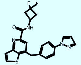 O=C(NC1CC(F)(F)C1)c1cc(Cc2ccc(-n3cccn3)cc2)c2sccc2n1